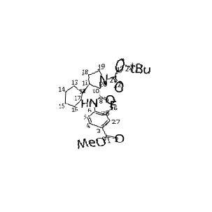 COC(=O)c1ccc(NC(=O)[C@@H]2[C@@H](C3CCCCC3)CCN2C(=O)OC(C)(C)C)c(F)c1